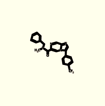 CN(Cc1ccccc1)C(=O)c1cn2c(-c3ccc(C(F)(F)F)cc3)cnc2cn1